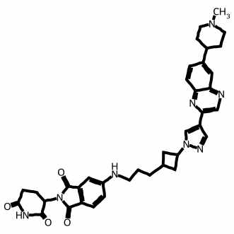 CN1CCC(c2ccc3nc(-c4cnn(C5CC(CCCNc6ccc7c(c6)C(=O)N(C6CCC(=O)NC6=O)C7=O)C5)c4)cnc3c2)CC1